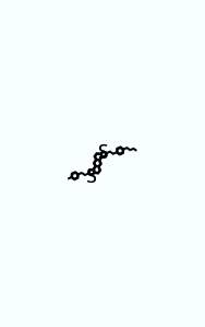 CCCCc1ccc(CCc2cc3c(ccc4cc5c(ccc6sc(CCc7ccc(C)cc7)cc65)cc43)s2)cc1